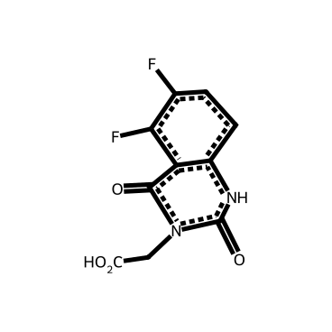 O=C(O)Cn1c(=O)[nH]c2ccc(F)c(F)c2c1=O